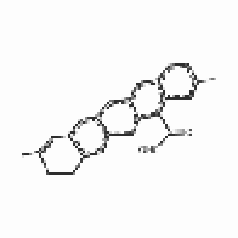 CC1=Cc2cc3cc4cc5ccc(C)cc5c(C(=O)C=O)c4cc3cc2CC1